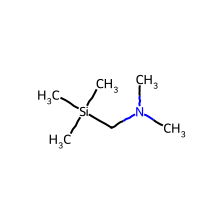 CN(C)C[Si](C)(C)C